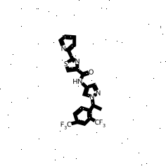 CC(c1ccc(C(F)(F)F)cc1C(F)(F)F)n1cc(NC(=O)c2csc(-c3ccccn3)n2)cn1